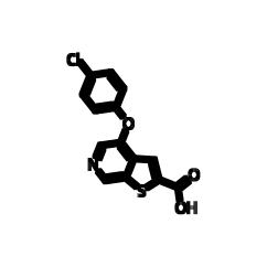 O=C(O)c1cc2c(Oc3ccc(Cl)cc3)cncc2s1